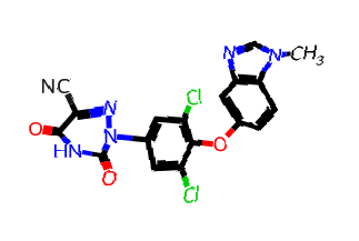 Cn1cnc2cc(Oc3c(Cl)cc(-n4nc(C#N)c(=O)[nH]c4=O)cc3Cl)ccc21